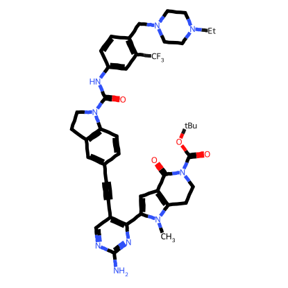 CCN1CCN(Cc2ccc(NC(=O)N3CCc4cc(C#Cc5cnc(N)nc5-c5cc6c(n5C)CCN(C(=O)OC(C)(C)C)C6=O)ccc43)cc2C(F)(F)F)CC1